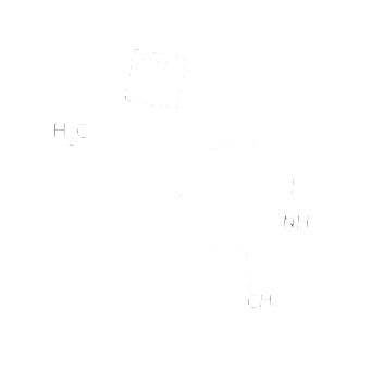 C=C1C=CC1C1CCNC(C)CC1